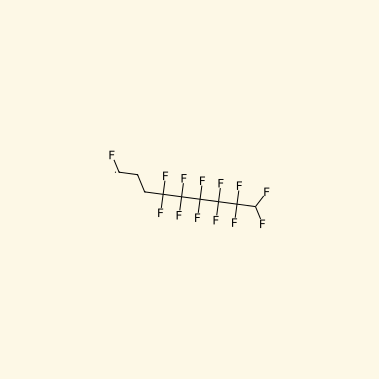 F[CH]CCC(F)(F)C(F)(F)C(F)(F)C(F)(F)C(F)(F)C(F)F